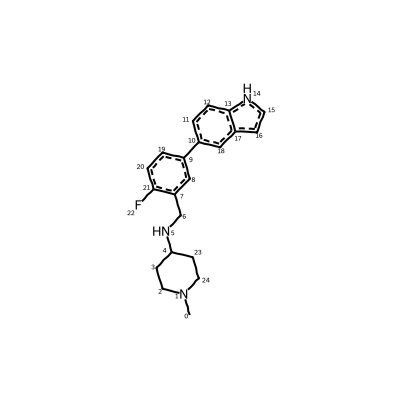 CN1CCC(NCc2cc(-c3ccc4[nH]ccc4c3)ccc2F)CC1